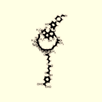 CC(=O)O[C@H]1[C@H](C)[C@H](O)[C@H](C)[C@@H](OC(=O)CCCOC(=O)CCC(=O)Nc2ccc(C(C=O)C=O)cc2)[C@@H](C)/C=C/C=C(/C)C(=O)Nc2c3oc4cc(N5CCN(CC(C)C)CC5)cc(O)c4nc-3c3c4c(c(C)c(O)c3c2=O)O[C@](C)(O/C=C/[C@H](C)[C@H]1C)C4=O